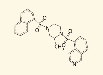 CC1CN(S(=O)(=O)c2cccc3ccccc23)CCN1S(=O)(=O)c1cccc2cnccc12